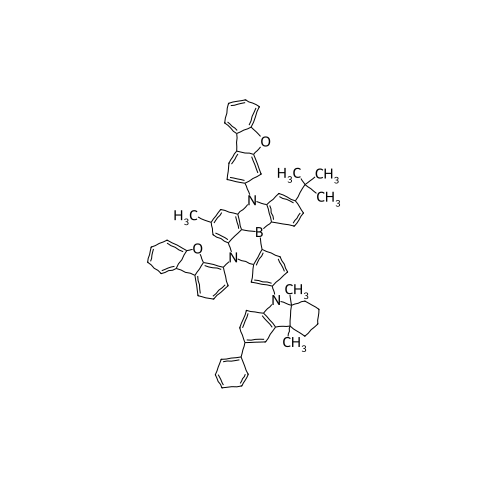 Cc1cc2c3c(c1)N(c1cccc4c1oc1ccccc14)c1cc(N4c5ccc(-c6ccccc6)cc5C5(C)CCCCC45C)ccc1B3c1ccc(C(C)(C)C)cc1N2c1ccc2c(c1)oc1ccccc12